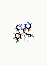 CC1(C)Oc2ccncc2[C@@H](n2nccc2-c2ccc(Cl)cc2)[C@@H]1O